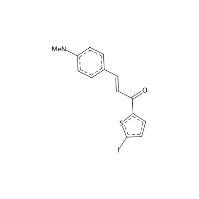 CNc1ccc(/C=C/C(=O)c2ccc(I)s2)cc1